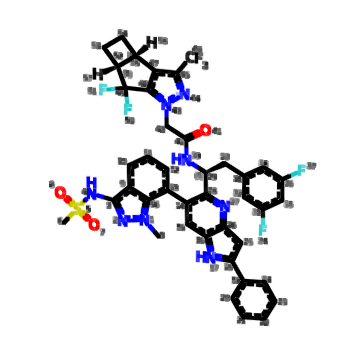 Cn1nc(NS(C)(=O)=O)c2cccc(-c3cc4[nH]c(-c5ccccc5)cc4nc3[C@H](Cc3cc(F)cc(F)c3)NC(=O)Cn3nc(C(F)(F)F)c4c3C(F)(F)[C@@H]3CC[C@H]43)c21